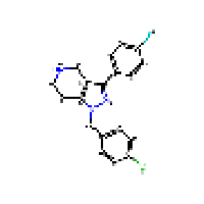 Fc1ccc(-c2nn(Cc3ccc(Cl)cc3)c3c2CNCC3)cc1